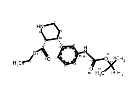 CCOC(=O)[C@@H]1CNCC[C@@H]1c1cccc(NC(=O)OC(C)(C)C)c1